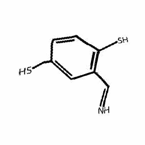 N=Cc1cc(S)ccc1S